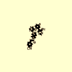 CC(C)c1ncncc1-c1cc(F)ccc1Oc1cncnc1N1CCC2(CN(C(=O)Cc3ccc(C#N)cc3)C2)C1